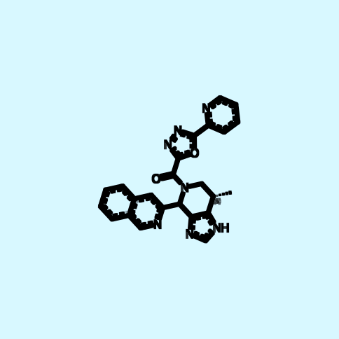 C[C@H]1CN(C(=O)c2nnc(-c3ccccn3)o2)C(c2cc3ccccc3cn2)c2nc[nH]c21